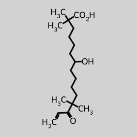 C=CC(=O)C(C)(C)CCCCC(O)CCCCC(C)(C)C(=O)O